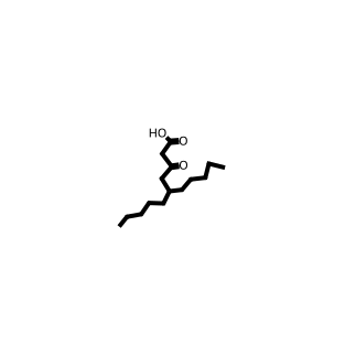 CCCCCC(CCCCC)CC(=O)CC(=O)O